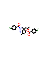 CC(C)CC(CNC(=O)c1ccc(F)cc1)(CC(C)C)C(C)OC(=O)c1ccc(F)cc1